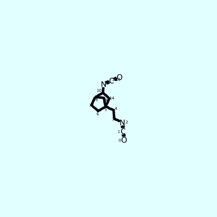 O=C=NCCC12CCC(C1)C(N=C=O)C2